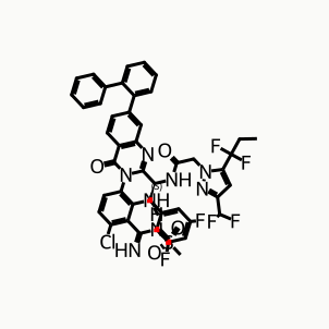 CCC(F)(F)c1cc(C(F)F)nn1CC(=O)N[C@@H](Cc1cc(F)cc(F)c1)c1nc2cc(-c3ccccc3-c3ccccc3)ccc2c(=O)n1-c1ccc(Cl)c(C(=N)NS(C)(=O)=O)c1NC